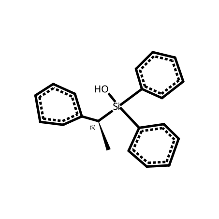 C[C@@H](c1ccccc1)[Si](O)(c1ccccc1)c1ccccc1